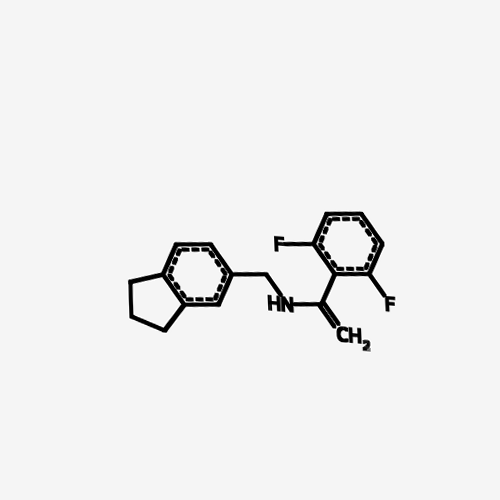 C=C(NCc1ccc2c(c1)CCC2)c1c(F)cccc1F